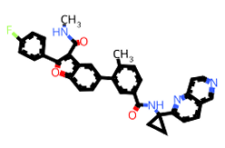 CNC(=O)c1c(-c2ccc(F)cc2)oc2ccc(-c3cc(C(=O)NC4(c5ccc6cnccc6n5)CC4)ccc3C)cc12